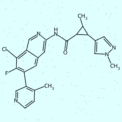 Cc1ccncc1-c1cc2cc(NC(=O)C3C(C)C3c3cnn(C)c3)ncc2c(Cl)c1F